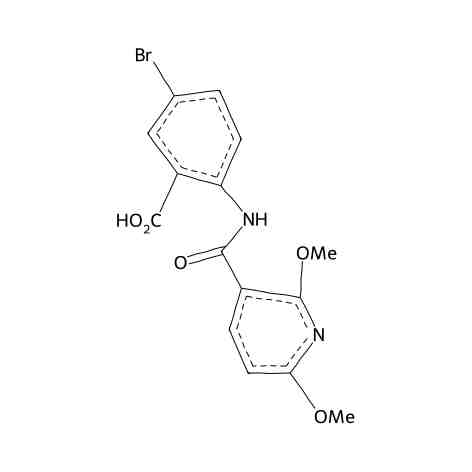 COc1ccc(C(=O)Nc2ccc(Br)cc2C(=O)O)c(OC)n1